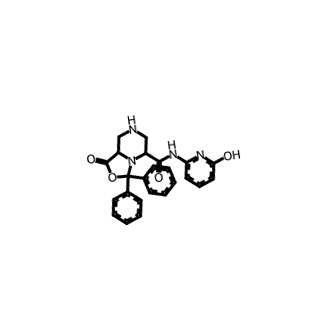 O=C(Nc1cccc(O)n1)C1CNCC2C(=O)OC(c3ccccc3)(c3ccccc3)N12